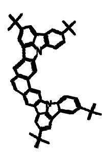 CC(C)(C)c1ccc2c(c1)c1cc(C(C)(C)C)cc3c4cc5ccc6cc7c8cc(C(C)(C)C)cc9c%10cc(C(C)(C)C)ccc%10n(c7cc6c5cc4n2c13)c98